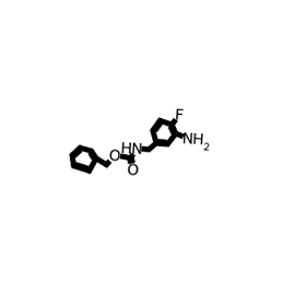 Nc1cc(CNC(=O)OCc2ccccc2)ccc1F